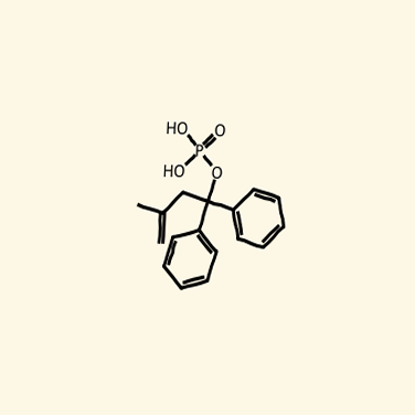 C=C(C)CC(OP(=O)(O)O)(c1ccccc1)c1ccccc1